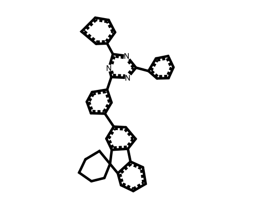 c1ccc(-c2nc(-c3ccccc3)nc(-c3cccc(-c4ccc5c(c4)C4(CCCCC4)c4ccccc4-5)c3)n2)cc1